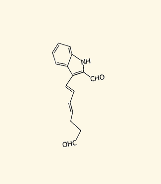 O=CCC/C=C/C=C/c1c(C=O)[nH]c2ccccc12